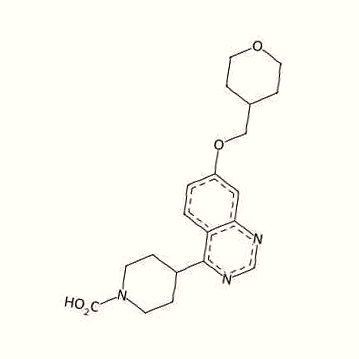 O=C(O)N1CCC(c2ncnc3cc(OCC4CCOCC4)ccc23)CC1